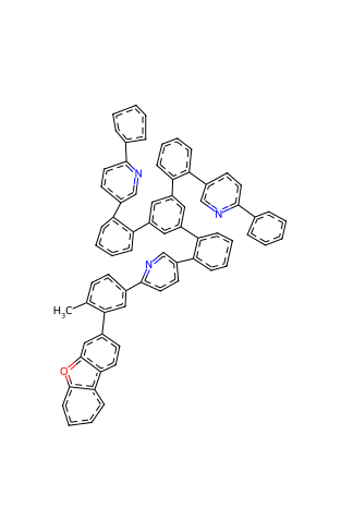 Cc1ccc(-c2ccc(-c3ccccc3-c3cc(-c4ccccc4-c4ccc(-c5ccccc5)nc4)cc(-c4ccccc4-c4ccc(-c5ccccc5)nc4)c3)cn2)cc1-c1ccc2c(c1)oc1ccccc12